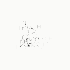 CC(C)C(N)C(=O)O.CC(C)C(N)C(=O)O.NC(Cc1ccccc1)C(=O)O.NC(Cc1ccccc1)C(=O)O